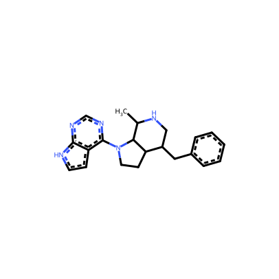 CC1NCC(Cc2ccccc2)C2CCN(c3ncnc4[nH]ccc34)C12